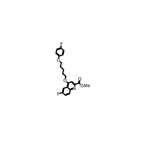 COC(=O)c1cc(OCCCCCOc2ccc(F)cc2)c2cc(F)ccc2n1